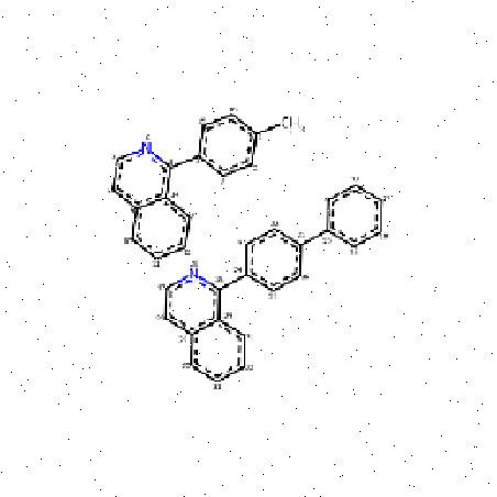 Cc1ccc(-c2nccc3ccccc23)cc1.c1ccc(-c2ccc(-c3nccc4ccccc34)cc2)cc1